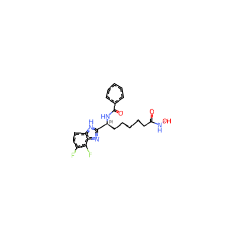 O=C(CCCCC[C@H](NC(=O)c1ccccc1)c1nc2c(F)c(F)ccc2[nH]1)NO